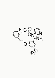 CC(C)Oc1cc(OCCc2ccccc2)cc(C2Nc3ncccc3N2OC(=O)C(F)(F)F)c1